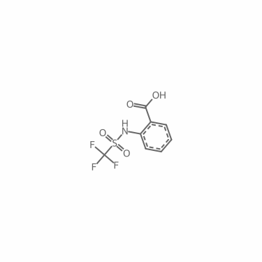 O=C(O)c1ccccc1NS(=O)(=O)C(F)(F)F